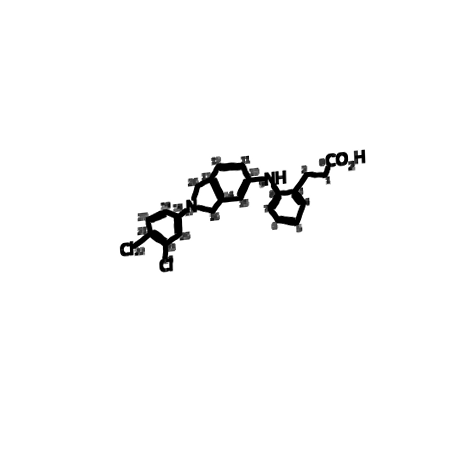 O=C(O)CCc1ccccc1Nc1ccc2c(c1)CN(c1ccc(Cl)c(Cl)c1)C2